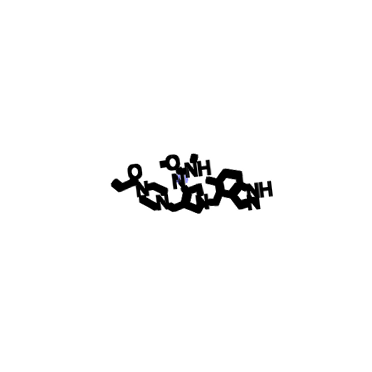 C=CC(=O)N1CCN(CC2=C(/N=C(\NC)OC)CN(Cc3c(C)ccc4[nH]ncc34)C2)CC1